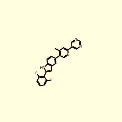 Cc1cc(-c2cncnc2)ncc1-c1ccc2[nH]c(-c3c(F)cccc3F)cc2c1